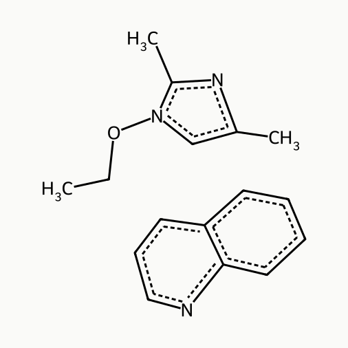 CCOn1cc(C)nc1C.c1ccc2ncccc2c1